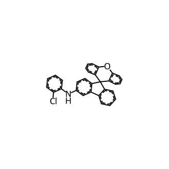 Clc1ccccc1Nc1ccc2c(c1)-c1ccccc1C21c2ccccc2Oc2ccccc21